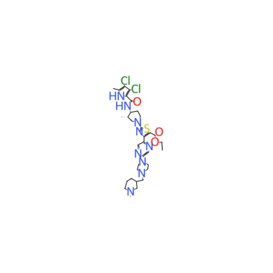 CCOC(=O)c1sc(N2CC[C@@H](NC(=O)c3[nH]c(C)c(Cl)c3Cl)[C@@H](C)C2)nc1-c1cnc(N2CCN(CC3CCCN(C)C3)CC2)cn1